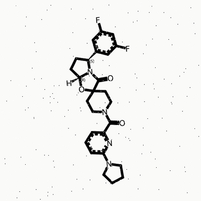 O=C(c1cccc(N2CCCC2)n1)N1CCC2(CC1)O[C@@H]1CC[C@@H](c3cc(F)cc(F)c3)N1C2=O